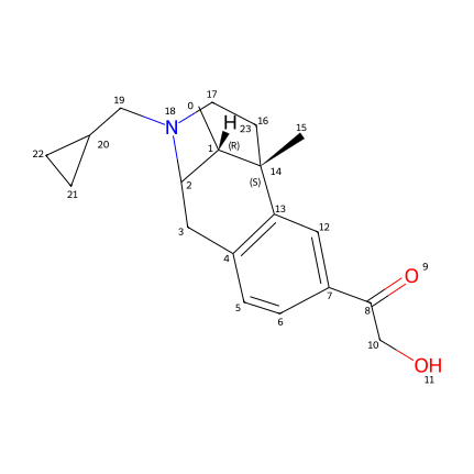 C[C@H]1C2Cc3ccc(C(=O)CO)cc3[C@@]1(C)CCN2CC1CC1